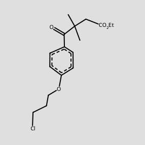 CCOC(=O)CC(C)(C)C(=O)c1ccc(OCCCCl)cc1